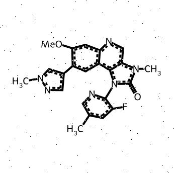 COc1cc2ncc3c(c2cc1-c1cnn(C)c1)n(-c1ncc(C)cc1F)c(=O)n3C